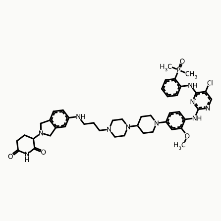 COc1cc(N2CCC(N3CCN(CCCNc4ccc5c(c4)CN(C4CCC(=O)NC4=O)C5)CC3)CC2)ccc1Nc1ncc(Cl)c(Nc2ccccc2P(C)(C)=O)n1